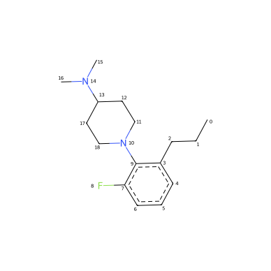 CCCc1cccc(F)c1N1CCC(N(C)C)CC1